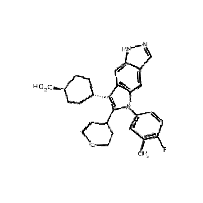 Cc1cc(-n2c(C3CCOCC3)c([C@H]3CC[C@H](C(=O)O)CC3)c3cc4[nH]ncc4cc32)ccc1F